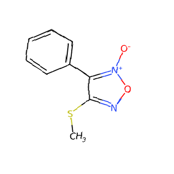 CSc1no[n+]([O-])c1-c1ccccc1